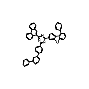 c1ccc(-c2cccc(-c3ccc(-c4nc(-c5ccc6c(c5)oc5cccc(-c7ccccc7)c56)nc(-c5cc6ccccc6c6ccccc56)n4)cc3)c2)cc1